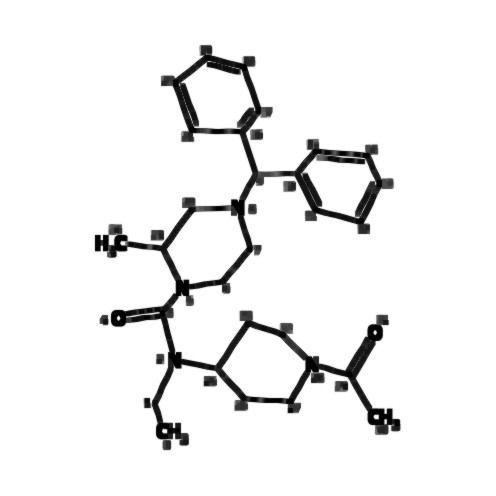 CCN(C(=O)N1CCN(C(c2ccccc2)c2ccccc2)CC1C)C1CCN(C(C)=O)CC1